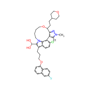 CCc1c2c(nn1C)C(CCC1CCOCC1)OCCCCn1c(C(O)O)c(CCCOc3cccc4cc(F)ccc34)c3ccc(Cl)c-2c31